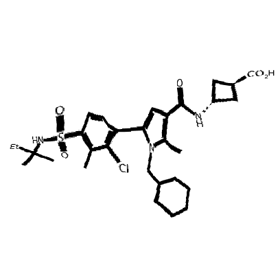 CCC(C)(C)NS(=O)(=O)c1ccc(-c2cc(C(=O)N[C@H]3C[C@H](C(=O)O)C3)c(C)n2CC2CCCCC2)c(Cl)c1C